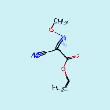 CCOC(=O)/C(C#N)=N/OC